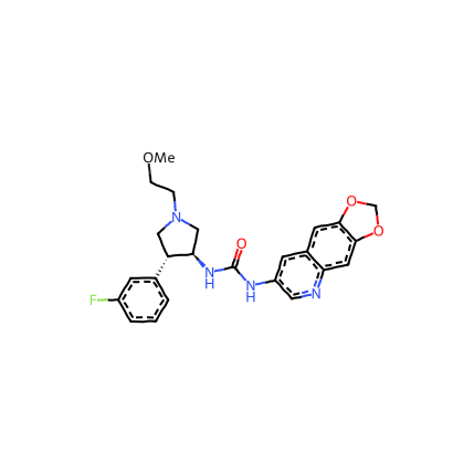 COCCN1C[C@@H](NC(=O)Nc2cnc3cc4c(cc3c2)OCO4)[C@H](c2cccc(F)c2)C1